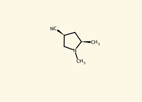 C[C@@H]1C[C@H](C#N)CN1C